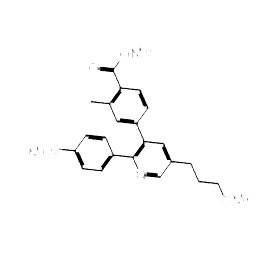 COCCCc1cnc(-c2ccc(OC)cc2)c(-c2ccc(C(=O)OC)c(C)c2)c1